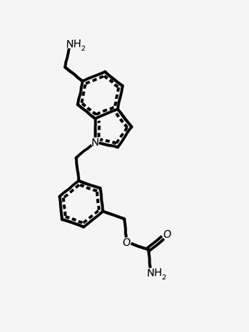 NCc1ccc2ccn(Cc3cccc(COC(N)=O)c3)c2c1